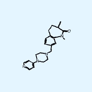 CC1CCc2ccc(CN3CCN(c4ccncc4)CC3)cc2N(C)C1=O